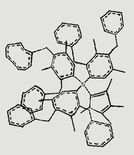 CC1=C(C)C(C)C([Si](c2cc(C)c(Cc3ccccc3)c(C)c2Cc2ccccc2)(c2cc(C)c(Cc3ccccc3)c(C)c2Cc2ccccc2)c2cc(C)c(Cc3ccccc3)c(C)c2Cc2ccccc2)=C1C